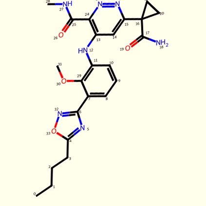 CCCCc1nc(-c2cccc(Nc3cc(C4(C(N)=O)CC4)nnc3C(=O)NC)c2OC)no1